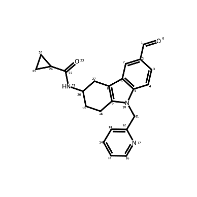 O=Cc1ccc2c(c1)c1c(n2Cc2ccccn2)CCC(NC(=O)C2CC2)C1